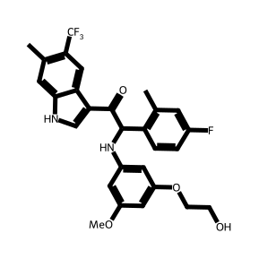 COc1cc(NC(C(=O)c2c[nH]c3cc(C)c(C(F)(F)F)cc23)c2ccc(F)cc2C)cc(OCCO)c1